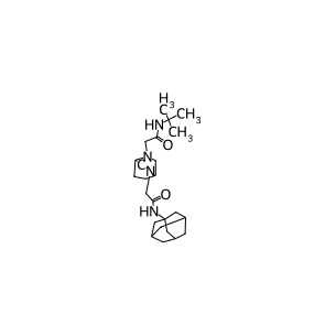 CC(C)(C)NC(=O)CN1CC2CCC1CN2CC(=O)NC12CC3CC(CC(C3)C1)C2